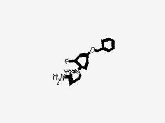 NC1=CCN(c2ccc(OCc3ccccc3)cc2F)N1